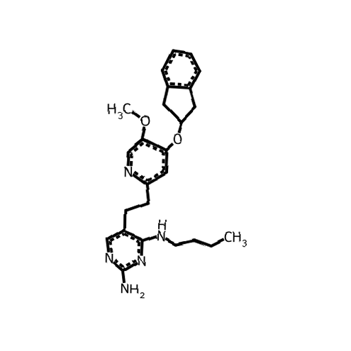 CCCCNc1nc(N)ncc1CCc1cc(OC2Cc3ccccc3C2)c(OC)cn1